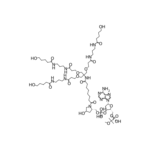 COC(C)(C)P(=O)(O)OC[C@H]1O[C@@H](n2cnc3c(N)ncnc32)C[C@@H]1O[PH](O)(O)OC[C@@H]1C[C@@H](O)CN1C(=O)CCCCCCC(=O)NC(COCCC(=O)NCCCNC(=O)CCCCO)(COCCC(=O)NCCCNC(=O)CCCCO)COCCC(=O)NCCCNC(=O)CCCCO